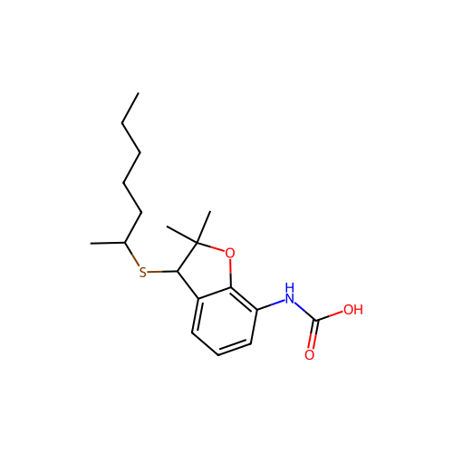 CCCCCC(C)SC1c2cccc(NC(=O)O)c2OC1(C)C